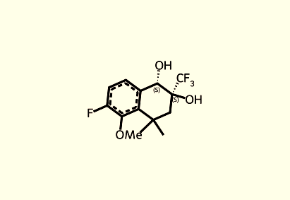 COc1c(F)ccc2c1C(C)(C)C[C@@](O)(C(F)(F)F)[C@H]2O